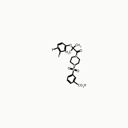 CC(C)(Oc1ccc(F)c(F)c1)C(=O)N1CCN(S(=O)(=O)c2cccc(C(=O)O)c2)CC1